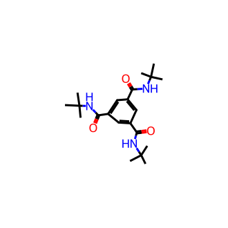 CC(C)(C)NC(=O)c1cc(C(=O)NC(C)(C)C)cc(C(=O)NC(C)(C)C)c1